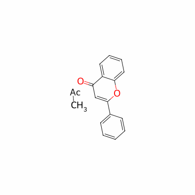 CC(C)=O.O=c1cc(-c2ccccc2)oc2ccccc12